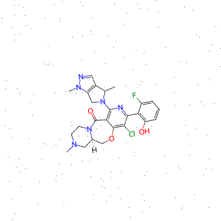 CC1c2cnn(C)c2CN1c1nc(-c2c(O)cccc2F)c(Cl)c2c1C(=O)N1CCN(C)C[C@@H]1CO2